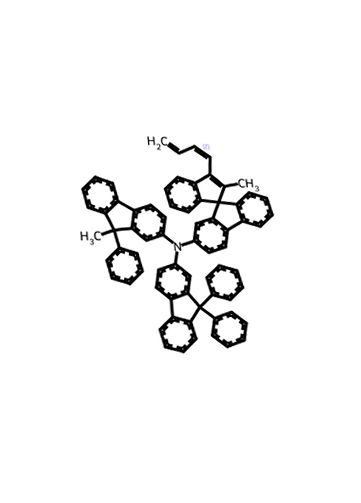 C=C/C=C\C1=C(C)C2(c3ccccc31)c1ccccc1-c1ccc(N(c3ccc4c(c3)C(C)(c3ccccc3)c3ccccc3-4)c3ccc4c(c3)C(c3ccccc3)(c3ccccc3)c3ccccc3-4)cc12